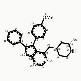 COc1ccc(-c2c(-c3ccccc3)oc3ncnc(C[C@@H]4CCN[C@@H](C)C4)c23)cc1